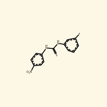 O=[N+]([O-])c1ccc(NC(=S)Nc2cccc(F)c2)cc1